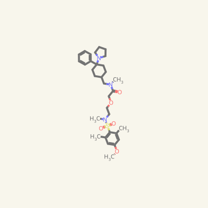 COc1cc(C)c(S(=O)(=O)N(C)CCOCC(=O)N(C)CC2CCC(c3ccccc3)(N3CCCC3)CC2)c(C)c1